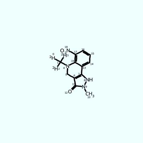 [2H]C([2H])([2H])N1Cc2c([nH]n(C)c2=O)-c2cccc([N+](=O)[O-])c21